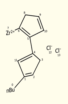 CCCCC1=CCC(C2=[C]([Zr+2])CC=C2)=C1.[Cl-].[Cl-]